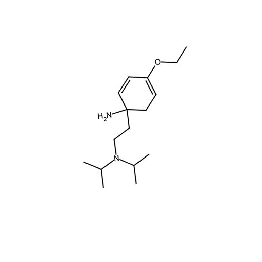 CCOC1=CCC(N)(CCN(C(C)C)C(C)C)C=C1